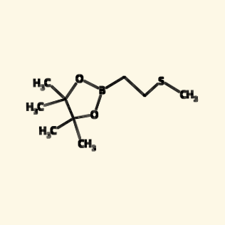 CSCCB1OC(C)(C)C(C)(C)O1